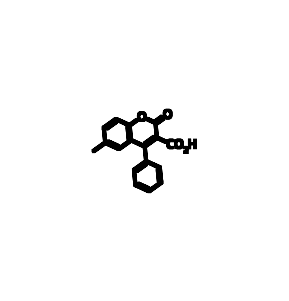 Cc1ccc2oc(=O)c(C(=O)O)c(-c3ccccc3)c2c1